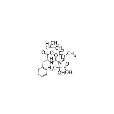 CC(C)CN(C(=O)NC(Cc1ccccc1)C(=O)OC(C)(C)C)C(C)(O)C(=O)O